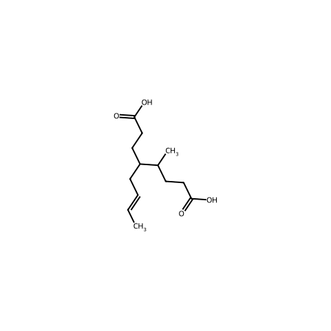 CC=CCC(CCC(=O)O)C(C)CCC(=O)O